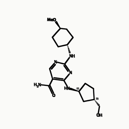 CO[C@H]1CC[C@H](Nc2ncc(C(N)=O)c(N[C@H]3CC[C@H](CO)C3)n2)CC1